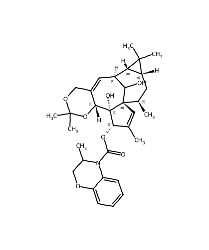 CC1=C[C@]23C(O)[C@@H](C=C4COC(C)(C)O[C@H]4[C@]2(O)[C@H]1OC(=O)N1c2ccccc2OCC1C)[C@H]1[C@@H](C[C@H]3C)C1(C)C